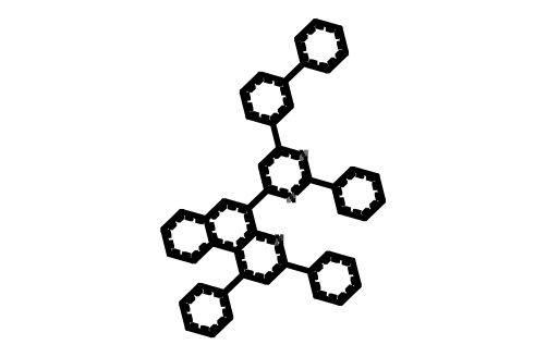 c1ccc(-c2cccc(-c3cc(-c4cc5ccccc5c5c(-c6ccccc6)cc(-c6ccccc6)nc45)nc(-c4ccccc4)n3)c2)cc1